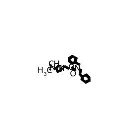 CN(C)[C@@H]1CCN(CCOC(=O)N(CCc2ccccc2)Cc2ccccc2)C1